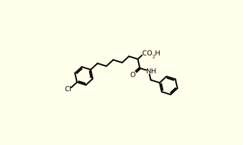 O=C(O)C(CCCCCc1ccc(Cl)cc1)C(=O)NCc1ccccc1